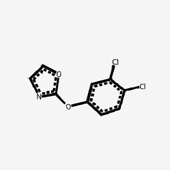 Clc1ccc(Oc2n[c]co2)cc1Cl